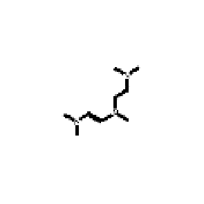 CN(C)/C=C/N(C)CCN(C)C